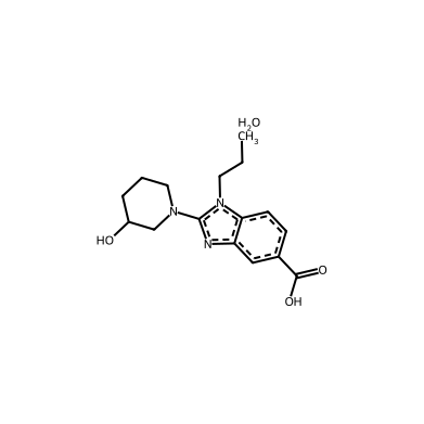 CCCn1c(N2CCCC(O)C2)nc2cc(C(=O)O)ccc21.O